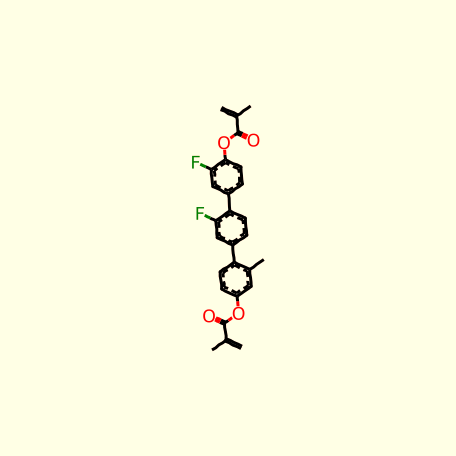 C=C(C)C(=O)Oc1ccc(-c2ccc(-c3ccc(OC(=O)C(=C)C)c(F)c3)c(F)c2)c(C)c1